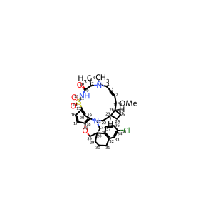 CO[C@@H]1C=CCN(C)[C@H](C)C(=O)NS(=O)(=O)c2ccc3c(c2)N(C[C@@H]2CC[C@H]21)C[C@@]1(CCCc2cc(Cl)ccc21)CO3